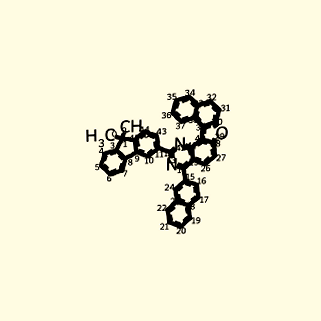 CC1(C)c2ccccc2-c2cc(-c3nc(-c4ccc5ccccc5c4)c4ccc5oc6ccc7ccccc7c6c5c4n3)ccc21